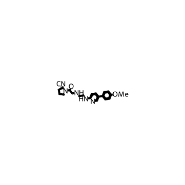 COc1ccc(-c2ccc(NCCNCC(=O)N3CCC[C@H]3C#N)nc2)cc1